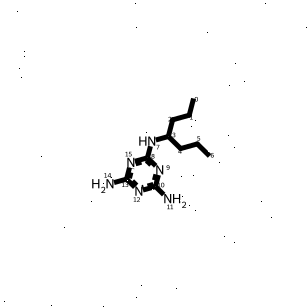 CCCC(CCC)Nc1nc(N)nc(N)n1